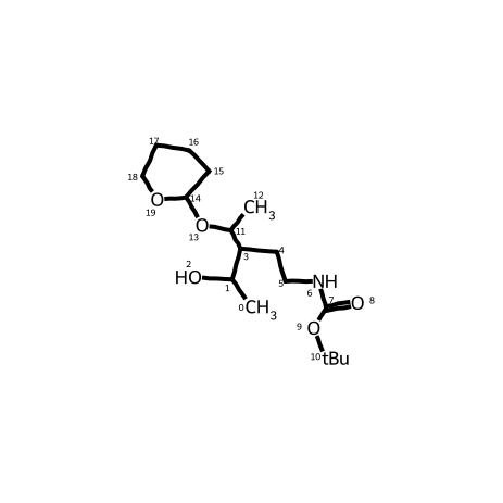 CC(O)C(CCNC(=O)OC(C)(C)C)C(C)OC1CCCCO1